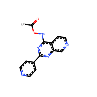 CCC(=O)ONc1nc(-c2ccncc2)nc2cnccc12